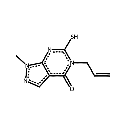 C=CCn1c(S)nc2c(cnn2C)c1=O